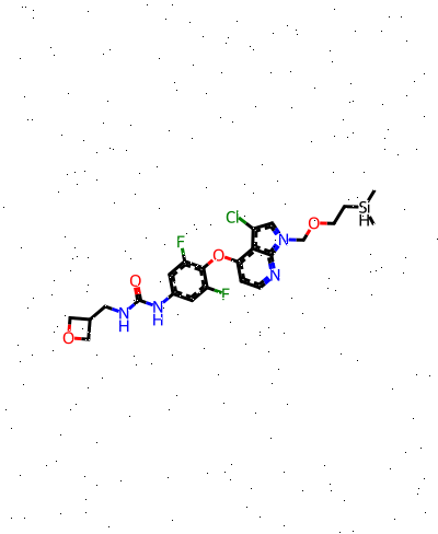 C[SiH](C)CCOCn1cc(Cl)c2c(Oc3c(F)cc(NC(=O)NCC4COC4)cc3F)ccnc21